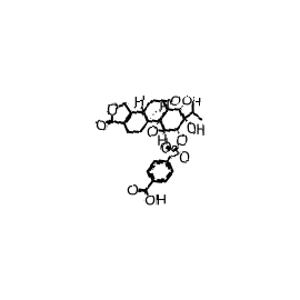 CC(C)[C@]1(O)[C@H](OS(=O)(=O)c2ccc(C(=O)O)cc2)[C@@H]2O[C@]23[C@]2(O[C@H]2C[C@H]2C4=C(CC[C@@]23C)C(=O)OC4)[C@@H]1O